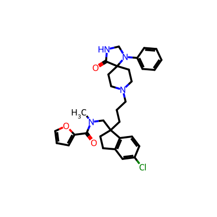 CN(CC1(CCCN2CCC3(CC2)C(=O)NCN3c2ccccc2)CCc2cc(Cl)ccc21)C(=O)c1ccco1